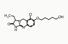 CCC1C(=O)NC2=Nc3ccc(OCCCCCO)c(Cl)c3CN21